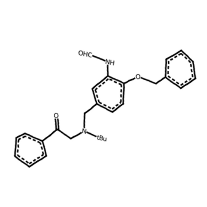 CC(C)(C)N(CC(=O)c1ccccc1)Cc1ccc(OCc2ccccc2)c(NC=O)c1